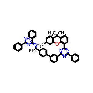 CC[C@H](/N=C(\N=C(/N)c1cc#ccc1)c1ccccc1)C1C=CC(c2cccc(-c3nc(-c4ccccc4)nc(-c4cccc5c4OC4=C(C=CC(C)C4)C5(C)C)n3)c2)=CC1